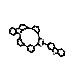 c1cc2cc(c1)-c1nc(nc(-c3ccc4c(c3)sc3ccccc34)n1)-c1cccc(c1)-c1ccc3c4ccccc4n(c3c1)-c1cccc-2c1